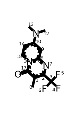 Cc1c(C(F)(F)F)nc2cc(N(C)C)ccn2c1=O